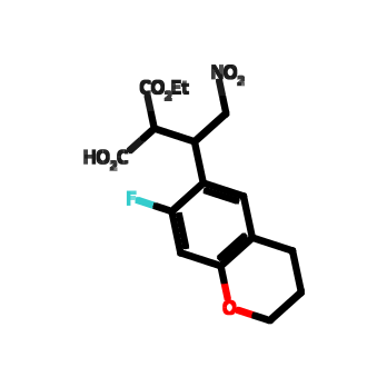 CCOC(=O)C(C(=O)O)C(C[N+](=O)[O-])c1cc2c(cc1F)OCCC2